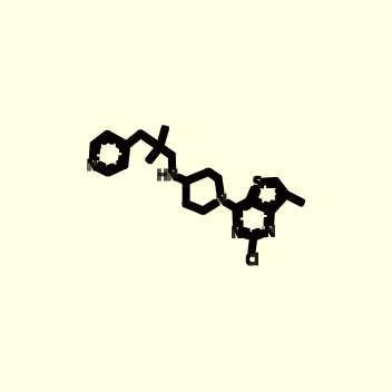 Cc1csc2c(N3CCC(NCC(C)(C)Cc4ccncc4)CC3)nc(Cl)nc12